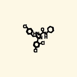 O=C(NC1CC=CCC1)c1nc(-c2ccc(Cl)cc2Cl)c(Cc2ccc(Cl)cc2)[nH]1